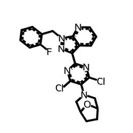 Fc1ccccc1Cn1nc(-c2nc(Cl)c(N3CC4CCC(C3)O4)c(Cl)n2)c2cccnc21